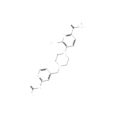 CNC(=O)c1ccc(N2CCN(Cc3ccnc(NC(C)=O)c3)CC2)c(C)n1